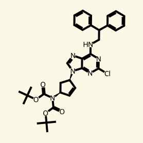 CC(C)(C)OC(=O)N(C(=O)OC(C)(C)C)[C@@H]1C=C[C@H](n2cnc3c(NCC(c4ccccc4)c4ccccc4)nc(Cl)nc32)C1